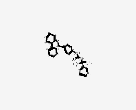 CC(C)(NC(=O)Nc1ccc(COc2ccccc2-c2ccccc2)cc1)c1cccnc1